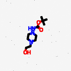 CC(C)(C)OC(=O)NN1CCN(CCO)CC1